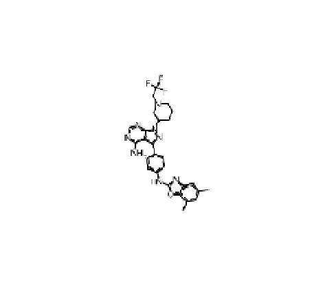 Cc1cc(C)c2oc(Nc3ccc(-c4nn(C5CCCN(CC(F)(F)F)C5)c5ncnc(N)c45)cc3)nc2c1